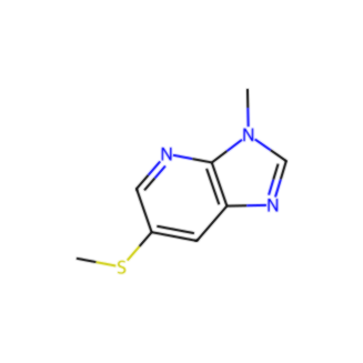 CSc1cnc2c(c1)ncn2C